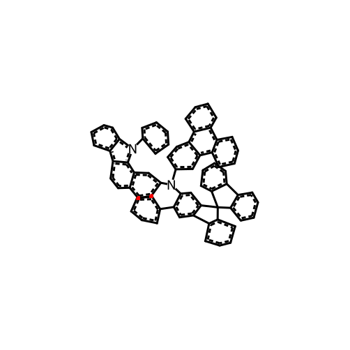 c1ccc(-c2cc3c(cc2N(c2ccc4c5ccccc5c5ccccc5c4c2)c2ccc4ccc5c6ccccc6n(-c6ccccc6)c5c4c2)C2(c4ccccc4-c4ccccc42)c2ccccc2-3)cc1